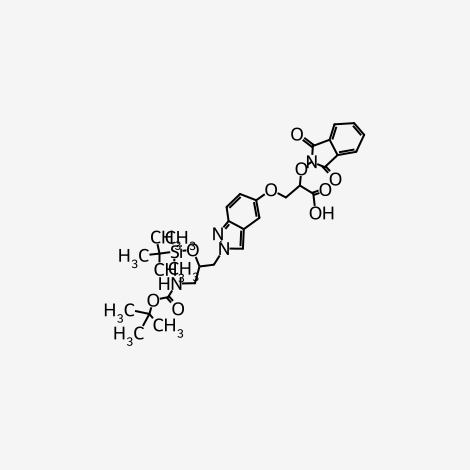 CC(C)(C)OC(=O)NCC(Cn1cc2cc(OCC(ON3C(=O)c4ccccc4C3=O)C(=O)O)ccc2n1)O[Si](C)(C)C(C)(C)C